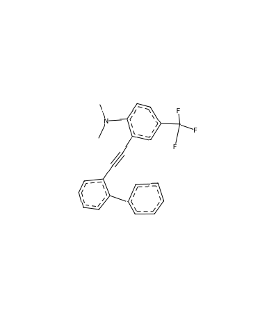 CN(C)c1ccc(C(F)(F)F)cc1C#Cc1ccccc1-c1ccccc1